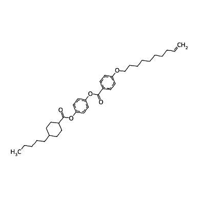 C=CCCCCCCCCOc1ccc(C(=O)Oc2ccc(OC(=O)C3CCC(CCCCC)CC3)cc2)cc1